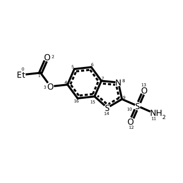 CCC(=O)Oc1ccc2nc(S(N)(=O)=O)sc2c1